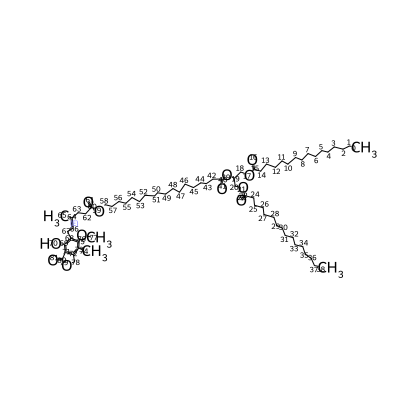 CCCCCCCCCCCCCCCC(=O)OCC(COC(=O)CCCCCCCCCCCCCCC)OC(=O)CCCCCCCCCCCCCCCCCOC(=O)CC/C(C)=C/Cc1c(O)c2c(c(C)c1OC)COC2=O